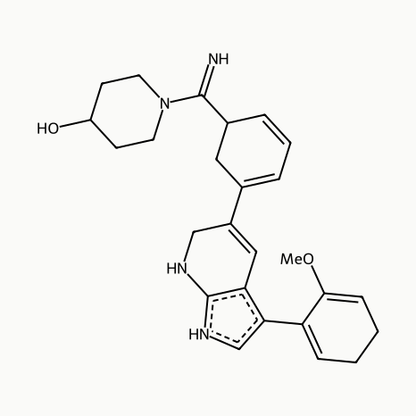 COC1=CCCC=C1c1c[nH]c2c1C=C(C1=CC=CC(C(=N)N3CCC(O)CC3)C1)CN2